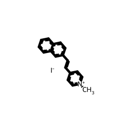 C[n+]1ccc(C=Cc2ccc3ccccc3c2)cc1.[I-]